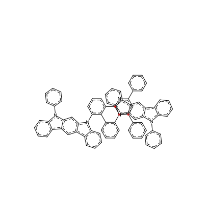 c1ccc(-c2cc(-c3ccccc3)nc(-c3cccc(-n4c5ccccc5c5cc6c7ccccc7n(-c7ccccc7)c6cc54)c3-c3ccccc3-n3c4ccccc4c4cc5c6ccccc6n(-c6ccccc6)c5cc43)n2)cc1